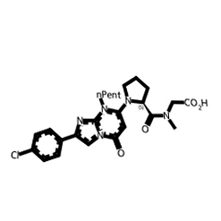 CCCCCn1c(N2CCC[C@H]2C(=O)N(C)CC(=O)O)cc(=O)n2cc(-c3ccc(Cl)cc3)nc12